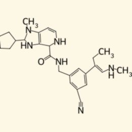 CC/C(=C\NC)c1cc(C#N)cc(CNC(=O)C2NC=CC3=C2NC(C2CCCC2)N3C)c1